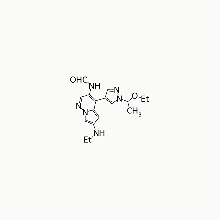 CCNc1cc2c(-c3cnn(C(C)OCC)c3)c(NC=O)cnn2c1